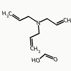 C=CCN(CC=C)CC=C.O=CO